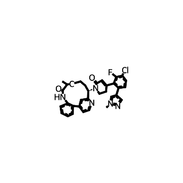 CC1CCC[C@H](N2CCC(c3c(-c4cnn(C)c4)ccc(Cl)c3F)=CC2=O)c2cc(ccn2)-c2ccccc2NC1=O